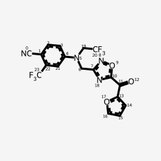 N#Cc1ccc(N(Cc2noc(C(=O)c3ccco3)n2)CC(F)(F)F)cc1C(F)(F)F